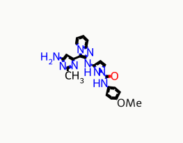 COc1ccc(NC(=O)n2ccc(Nc3nc4ccccn4c3-c3cc(N)nc(C)n3)n2)cc1